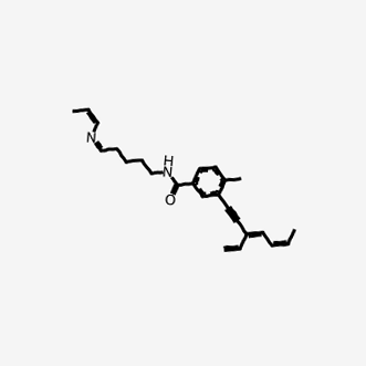 C=C/C(C#Cc1cc(C(=O)NCCCC/C=N\C=C/C)ccc1C)=C\C=C/C